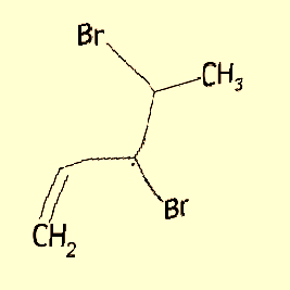 C=C[C](Br)C(C)Br